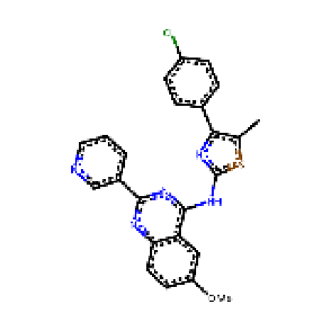 COc1ccc2nc(-c3cccnc3)nc(Nc3nc(-c4ccc(Cl)cc4)c(C)s3)c2c1